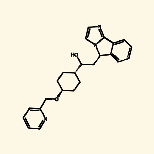 OC(CC1c2ccccc2-c2nccn21)[C@H]1CC[C@H](OCc2ccccn2)CC1